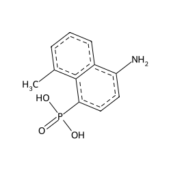 Cc1cccc2c(N)ccc(P(=O)(O)O)c12